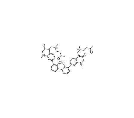 CC(=O)CC[C@H](C)CN1C(=O)CN(C)c2cc(-c3cccc(-c4cccc(-c5ccc6c(c5)N(C)CC(=O)N6C[C@@H](C)CCC(C)=O)c4Cl)c3Cl)ccc21